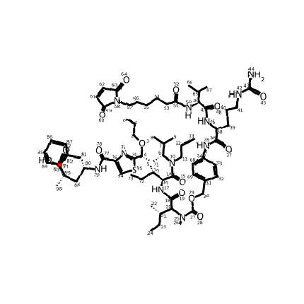 CCCO[C@H](C[C@H](C(C)C)N(CCC)C(=O)[C@@H](NC(=O)C([C@@H](C)CC)N(C)C(=O)OCc1ccc(NC(=O)[C@H](CCCNC(N)=O)NC(=O)[C@@H](NC(=O)CCCCCN2C(=O)C=CC2=O)C(C)C)cc1)[C@@H](C)CC)c1nc(C(=O)N[C@@H](Cc2ccccc2)C[C@H](C)C(=O)O)cs1